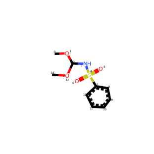 COC(NS(=O)(=O)c1ccccc1)OC